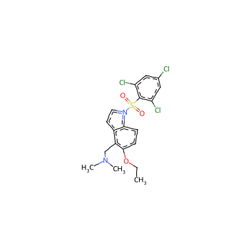 CCOc1ccc2c(ccn2S(=O)(=O)c2c(Cl)cc(Cl)cc2Cl)c1CN(C)C